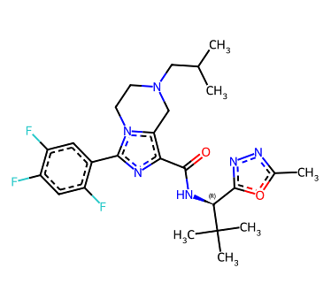 Cc1nnc([C@H](NC(=O)c2nc(-c3cc(F)c(F)cc3F)n3c2CN(CC(C)C)CC3)C(C)(C)C)o1